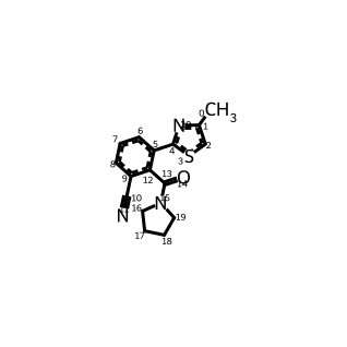 Cc1csc(-c2cccc(C#N)c2C(=O)N2CCCC2)n1